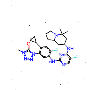 Cn1nnn(-c2cc(Nc3ncc(F)c(NC4CC5CCCN5C(C)(C)C4)n3)c(F)cc2C2CC2)c1=O